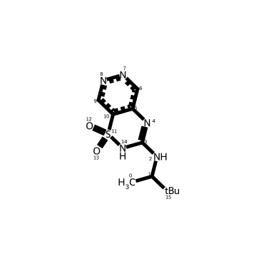 CC(NC1=Nc2cnncc2S(=O)(=O)N1)C(C)(C)C